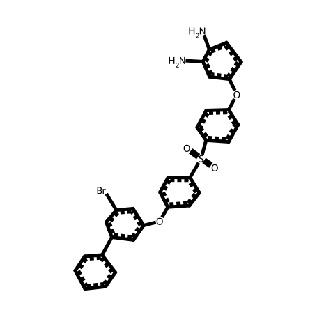 Nc1ccc(Oc2ccc(S(=O)(=O)c3ccc(Oc4cc(Br)cc(-c5ccccc5)c4)cc3)cc2)cc1N